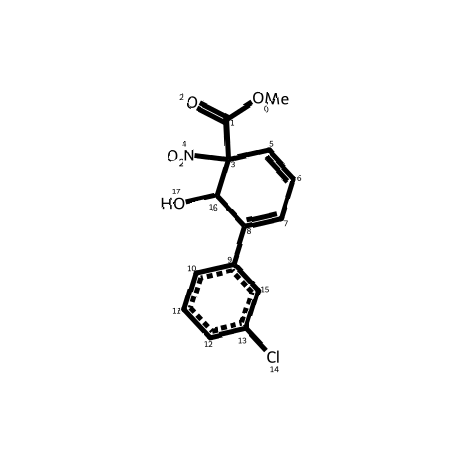 COC(=O)C1([N+](=O)[O-])C=CC=C(c2cccc(Cl)c2)C1O